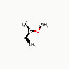 C=[CH][Pt]([CH3])[O][SiH3]